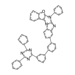 c1ccc(-c2nc(-c3ccccc3)nc(-c3cccc(-c4cccc(-c5ccc6c(c5)nc5n(-c7ccccc7)c7oc8ccccc8c7n65)c4)c3)n2)cc1